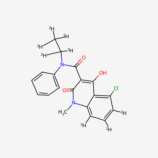 [2H]c1c([2H])c([2H])c2c(c(O)c(C(=O)N(c3ccccc3)C([2H])([2H])C([2H])([2H])[2H])c(=O)n2C)c1Cl